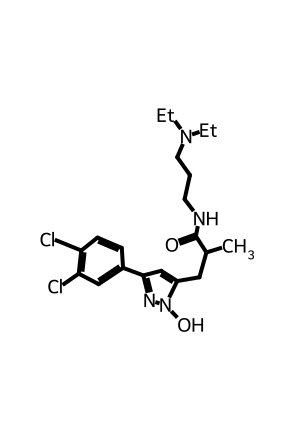 CCN(CC)CCCNC(=O)C(C)Cc1cc(-c2ccc(Cl)c(Cl)c2)nn1O